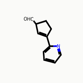 O=CC1C=C(c2ccccn2)CC1